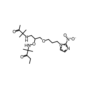 CCC(=O)C(C)(C)NOC(CNC(C)(C)C(C)=O)COCCCn1ccnc1[N+](=O)[O-]